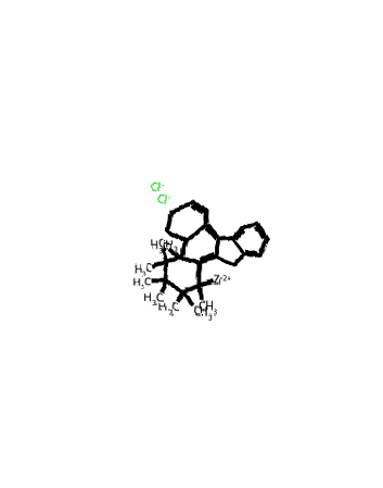 C[C]1([Zr+2])C2=C3Cc4ccccc4C3=C3C=CCCC3C2(C)C(C)(C)C(C)(C)C1(C)C.[Cl-].[Cl-]